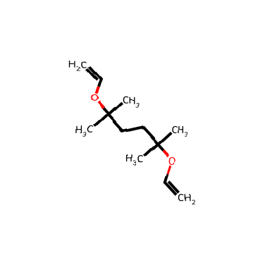 C=COC(C)(C)CCC(C)(C)OC=C